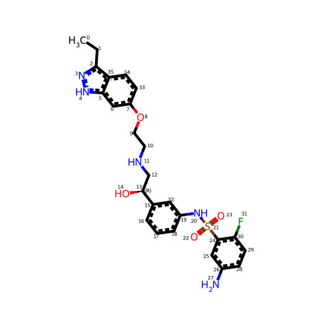 CCc1n[nH]c2cc(OCCNC[C@H](O)c3cccc(NS(=O)(=O)c4cc(N)ccc4F)c3)ccc12